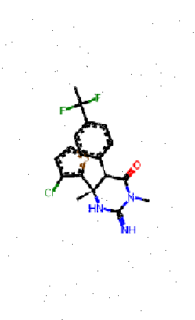 CN1C(=N)N[C@](C)(c2sccc2Cl)[C@@H](c2ccc(C(C)(F)F)cc2)C1=O